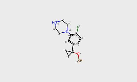 Fc1ccc(C2(OS)CC2)cc1N1CCNCC1